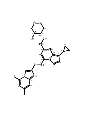 Cc1cc(C)n2cc(CNc3cc(NC[C@H]4CCNC[C@@H]4O)nc4c(C5CC5)cnn34)nc2c1